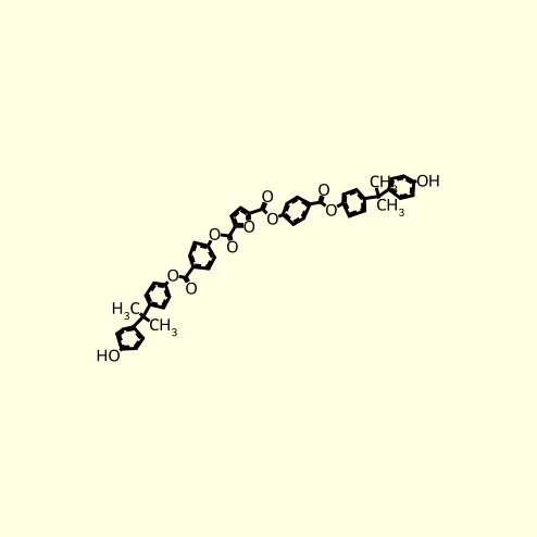 CC(C)(c1ccc(O)cc1)c1ccc(OC(=O)c2ccc(OC(=O)c3ccc(C(=O)Oc4ccc(C(=O)Oc5ccc(C(C)(C)c6ccc(O)cc6)cc5)cc4)o3)cc2)cc1